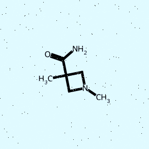 CN1CC(C)(C(N)=O)C1